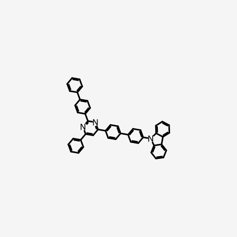 c1ccc(-c2ccc(-c3nc(-c4ccccc4)cc(-c4ccc(-c5ccc(-n6c7ccccc7c7ccccc76)cc5)cc4)n3)cc2)cc1